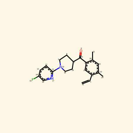 C=Cc1cc(C(=O)C2CCN(c3ccc(F)cn3)CC2)c(C)cc1C